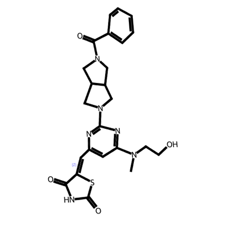 CN(CCO)c1cc(/C=C2\SC(=O)NC2=O)nc(N2CC3CN(C(=O)c4ccccc4)CC3C2)n1